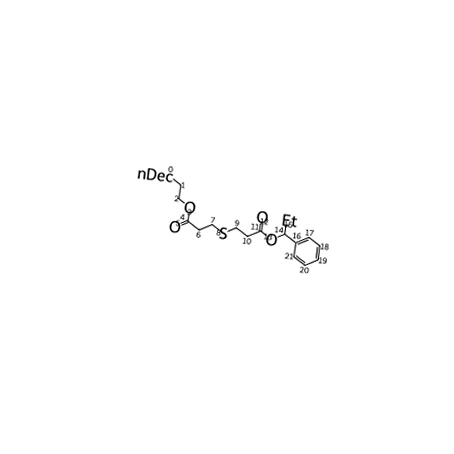 CCCCCCCCCCCCOC(=O)CCSCCC(=O)OC(CC)c1ccccc1